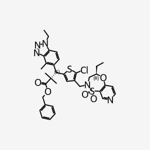 CC[C@@H]1CN(Cc2cc([C@@H](c3ccc4c(nnn4CC)c3C)C(C)(C)C(=O)OCc3ccccc3)sc2Cl)S(=O)(=O)c2cnccc2O1